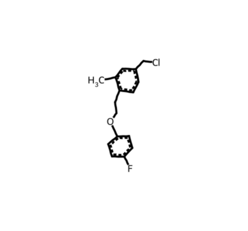 Cc1cc(CCl)ccc1CCOc1ccc(F)cc1